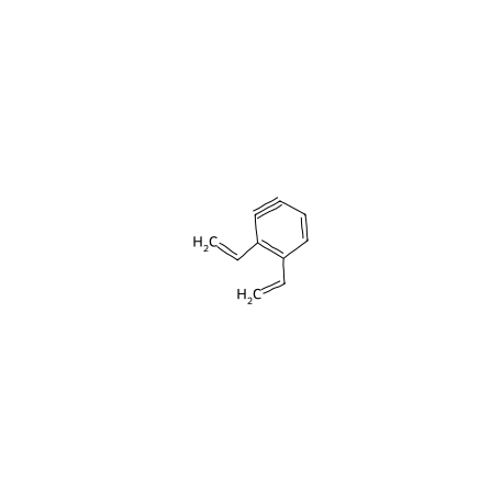 C=Cc1c#cccc1C=C